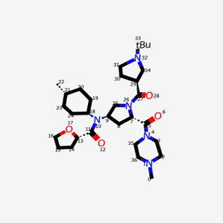 CN1CCN(C(=O)[C@@H]2C[C@H](N(C(=O)[C@@H]3CCCO3)[C@H]3CC[C@@H](C)CC3)CN2C(=O)[C@H]2CCN(C(C)(C)C)C2)CC1